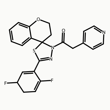 O=C(Cc1ccncc1)N1N=C(C2=CC(F)CC=C2F)SC12CCOc1ccccc12